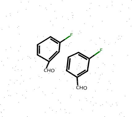 O=Cc1cccc(F)c1.O=Cc1cccc(F)c1